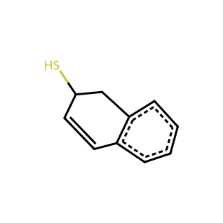 SC1C=Cc2ccccc2C1